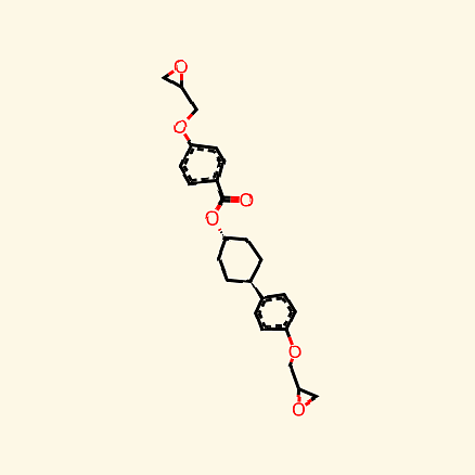 O=C(O[C@H]1CC[C@H](c2ccc(OCC3CO3)cc2)CC1)c1ccc(OCC2CO2)cc1